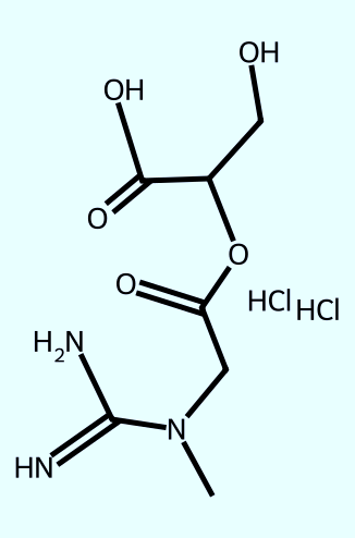 CN(CC(=O)OC(CO)C(=O)O)C(=N)N.Cl.Cl